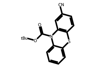 CC(C)(C)OC(=O)N1c2ccccc2Sc2ccc(C#N)cc21